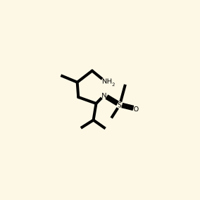 CC(CN)CC(N=S(C)(C)=O)C(C)C